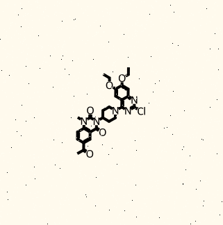 CCOc1cc2nc(Cl)nc(N3CCC(n4c(=O)c5cc(C(C)=O)ccc5n(C)c4=O)CC3)c2cc1OCC